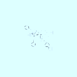 O=C(N[C@H](CCc1ccccc1)C(=O)N1C[C@H](OCc2ccc(Cl)cc2)C[C@H]1C(=O)O)OCc1ccccc1